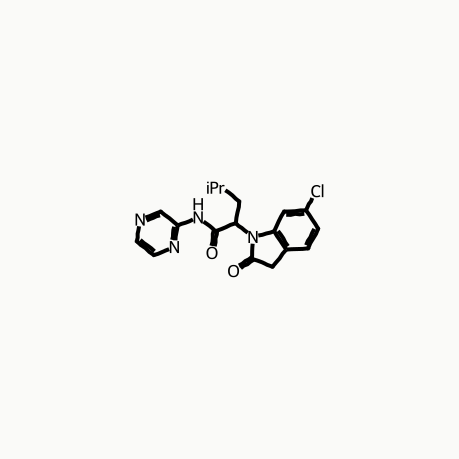 CC(C)CC(C(=O)Nc1cnccn1)N1C(=O)Cc2ccc(Cl)cc21